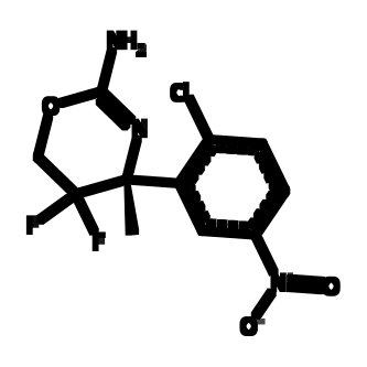 C[C@]1(c2cc([N+](=O)[O-])ccc2Cl)N=C(N)OCC1(F)F